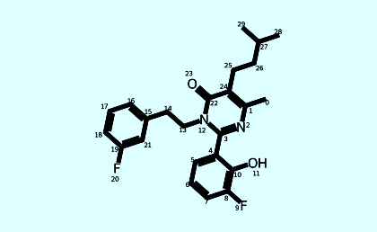 Cc1nc(-c2cccc(F)c2O)n(CCc2cccc(F)c2)c(=O)c1CCC(C)C